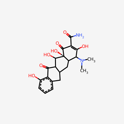 CN(C)C1C(O)=C(C(N)=O)C(=O)[C@@]2(O)C(O)C3C(=O)c4c(O)cccc4CC3CC12